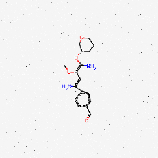 COC(/C=C(\N)c1ccc(C=O)cc1)=C(/N)O[C@H]1CCCOC1